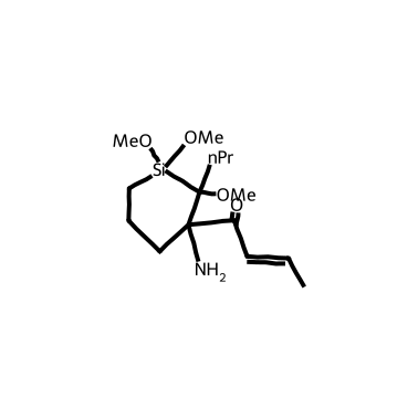 CC=CC(=O)C1(N)CCC[Si](OC)(OC)C1(CCC)OC